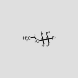 [CH2]COC(F)(F)C(F)(F)F